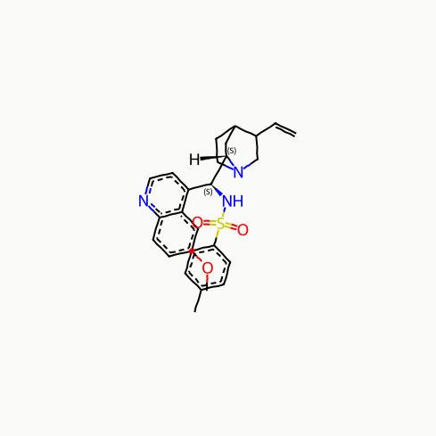 C=CC1CN2CCC1C[C@H]2[C@@H](NS(=O)(=O)c1ccc(C)cc1)c1ccnc2ccc(OC)cc12